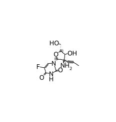 CC#C[C@@]1(N)C(O)[C@@H](CO)O[C@H]1n1cc(F)c(=O)[nH]c1=O